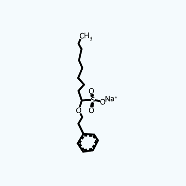 CCCCCCCCC(OCCc1ccccc1)S(=O)(=O)[O-].[Na+]